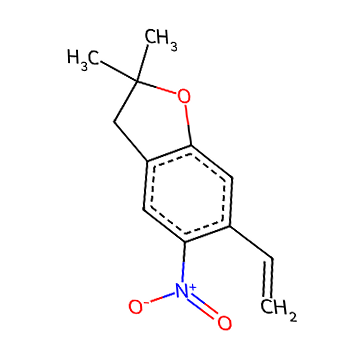 C=Cc1cc2c(cc1[N+](=O)[O-])CC(C)(C)O2